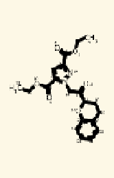 CCOC(=O)c1cc(C(=O)OCC)n(CC(=O)C2CCc3ccccc3O2)n1